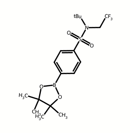 CC(C)(C)N(CC(F)(F)F)S(=O)(=O)c1ccc(B2OC(C)(C)C(C)(C)O2)cc1